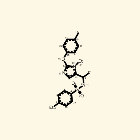 CCc1ccc(S(=O)(=O)NC(C)c2cnc(Oc3ccc(C)cc3)n2CC)cc1